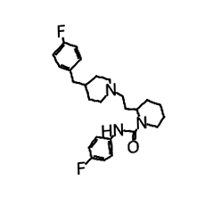 O=C(Nc1ccc(F)cc1)N1CCCCC1CCN1CCC(Cc2ccc(F)cc2)CC1